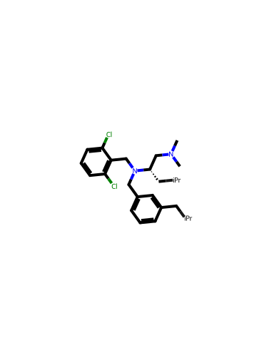 CC(C)Cc1cccc(CN(Cc2c(Cl)cccc2Cl)[C@@H](CC(C)C)CN(C)C)c1